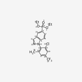 CCOP(=O)(OCC)c1ccc2c(cnn2-c2c(C)cc(C(F)(F)F)cc2Cl)c1